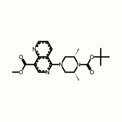 COC(=O)c1cnc(N2C[C@@H](C)N(C(=O)OC(C)(C)C)[C@@H](C)C2)c2cccnc12